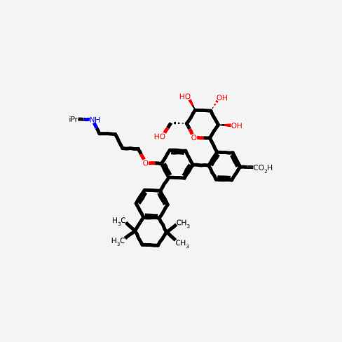 CC(C)NCCCCOc1ccc(-c2ccc(C(=O)O)cc2C2O[C@H](CO)[C@@H](O)[C@H](O)[C@H]2O)cc1-c1ccc2c(c1)C(C)(C)CCC2(C)C